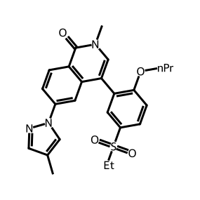 CCCOc1ccc(S(=O)(=O)CC)cc1-c1cn(C)c(=O)c2ccc(-n3cc(C)cn3)cc12